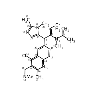 C=C(C)N(C)/C(=C\C)C(c1ccc2nc(C)c(CNC)c(Cl)c2c1)c1cnc(C)n1C